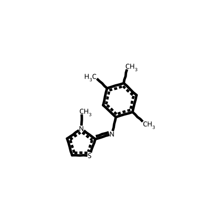 Cc1cc(C)c(N=c2sccn2C)cc1C